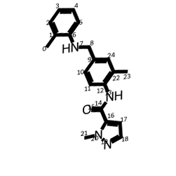 Cc1ccccc1NCc1ccc(NC(=O)c2ccnn2C)c(C)c1